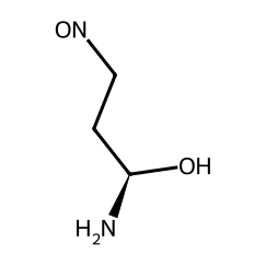 N[C@H](O)CCN=O